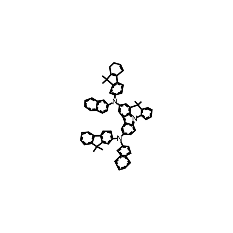 CC1(C)C2=C(C=CCC2)c2ccc(N(c3ccc4ccccc4c3)c3cc4c5c(c3)c3cc(N(c6ccc7c(c6)C(C)(C)c6ccccc6-7)c6ccc7ccccc7c6)ccc3n5-c3ccccc3C4(C)C)cc21